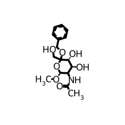 CO[C@H]1OC(CO)(OCc2ccccc2)[C@H](O)[C@@H](O)C1NC(C)=O